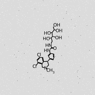 CN1Cc2c(Cl)cc(Cl)cc2C(c2cccc(NC(=O)NCC(O)C(O)C(O)C(O)CO)c2)C1